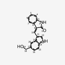 O=C1Nc2ccccc2C1=Cc1c[nH]c2ccc(CO)cc12